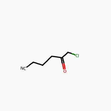 N#CCCCC(=O)CCl